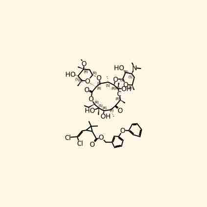 CC1(C)C(C=C(Cl)Cl)C1C(=O)OCc1cccc(Oc2ccccc2)c1.CC[C@H]1OC(=O)[C@H](C)[C@@H](O[C@H]2C[C@@](C)(OC)[C@@H](O)[C@H](C)O2)[C@H](C)[C@@H](O[C@@H]2O[C@H](C)C[C@H](N(C)C)[C@H]2O)[C@](C)(O)C[C@@H](C)C(=O)[C@H](C)[C@@H](O)[C@]1(C)O